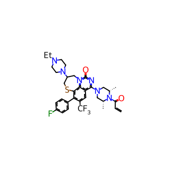 C=CC(=O)N1[C@H](C)CN(c2nc(=O)n3c4c(c(-c5ccc(F)cc5)c(C(F)(F)F)cc24)SCC(N2CCN(CC)CC2)C3)C[C@@H]1C